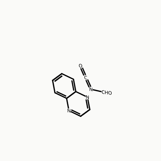 O=C=NC=O.c1ccc2nccnc2c1